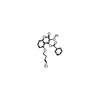 CCC=CCCOc1cccc2oc(=O)c(OC(C)C)c(OC(=O)c3ccccc3)c12